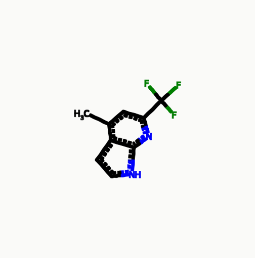 Cc1cc(C(F)(F)F)nc2[nH]ccc12